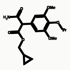 COc1cc(C(C(N)=O)C(=O)OCC2CC2)cc(OC)c1OC(C)C